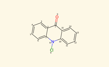 O=c1c2ccccc2n(Cl)c2ccccc12